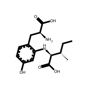 CC[C@H](C)[C@H](Nc1cc(O)ccc1C[C@H](N)C(=O)O)C(=O)O